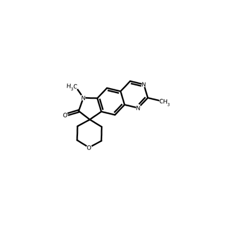 Cc1ncc2cc3c(cc2n1)C1(CCOCC1)C(=O)N3C